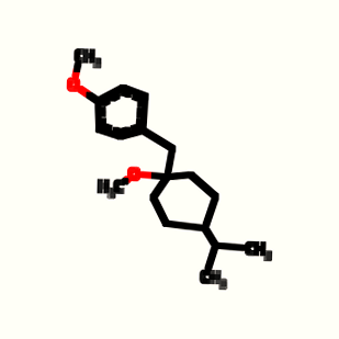 COc1ccc(CC2(OC)CCC(C(C)C)CC2)cc1